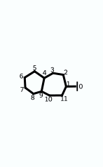 IC1CCC2CCCCC2CC1